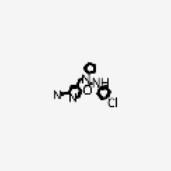 N#Cc1cc(CN(C(=O)Nc2ccc(Cl)cc2)C2CCCC2)ccn1